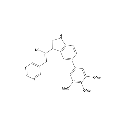 COc1cc(-c2ccc3[nH]cc(C(C#N)=Cc4cccnc4)c3c2)cc(OC)c1OC